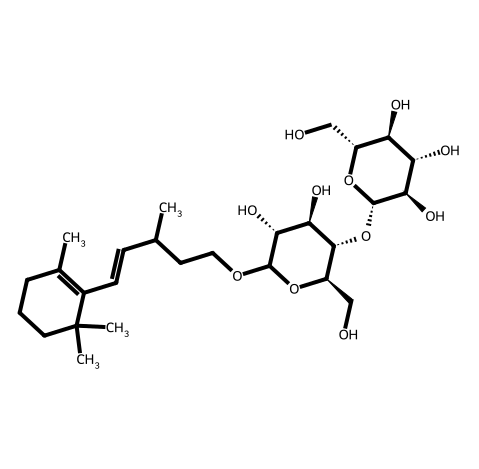 CC1=C(/C=C/C(C)CCOC2O[C@H](CO)[C@@H](O[C@@H]3O[C@H](CO)[C@@H](O)[C@H](O)[C@H]3O)[C@H](O)[C@H]2O)C(C)(C)CCC1